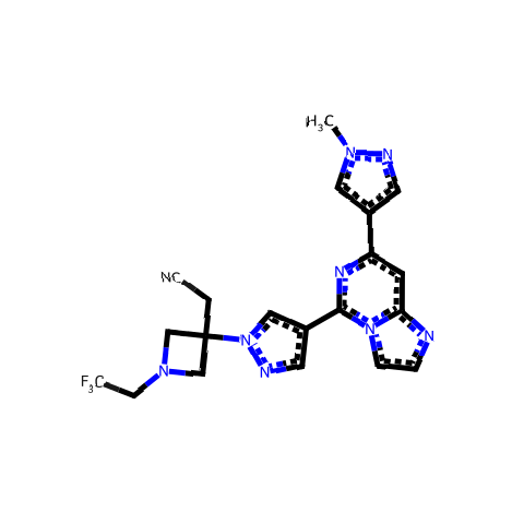 Cn1cc(-c2cc3nccn3c(-c3cnn(C4(CC#N)CN(CC(F)(F)F)C4)c3)n2)cn1